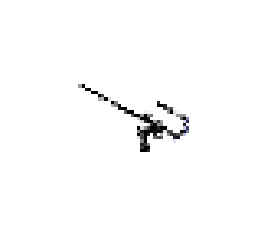 CCCCCCCC/C=C\C/C=C\C/C=C\CCCC(=O)O[C@H](COC(=O)CCCCCCCCCCCCCCCCCCC)COP(=O)(O)OCC[N+](C)(C)C